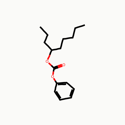 CCCCCC(CCC)OC(=O)Oc1ccccc1